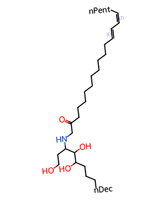 CCCCC/C=C\C=C\CCCCCCCCCCC(=O)CNC(CCO)C(O)C(O)CCCCCCCCCCCCC